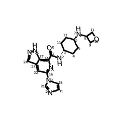 O=C(N[C@H]1CC[C@H](NC2COC2)CC1)c1nc(-n2ccnc2)cc2cn[nH]c12